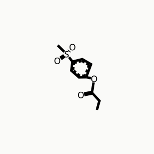 CCC(=O)Oc1ccc(S(C)(=O)=O)cc1